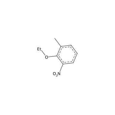 CCOc1c(C)cccc1[N+](=O)[O-]